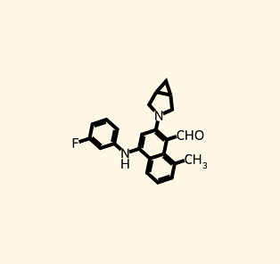 Cc1cccc2c(Nc3cccc(F)c3)cc(N3CC4CC4C3)c(C=O)c12